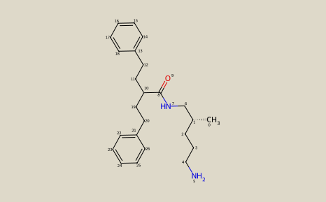 C[C@H](CCCN)CNC(=O)C(CCc1ccccc1)CCc1ccccc1